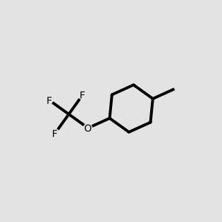 CC1CCC(OC(F)(F)F)CC1